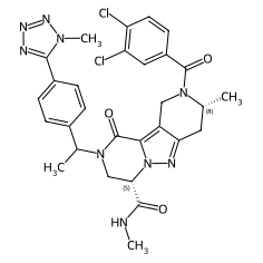 CNC(=O)[C@@H]1CN(C(C)c2ccc(-c3nnnn3C)cc2)C(=O)c2c3c(nn21)C[C@@H](C)N(C(=O)c1ccc(Cl)c(Cl)c1)C3